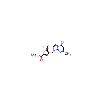 COC(=O)c1cc(Cn2ccn3c(=O)cc(C)nc23)c(C)s1